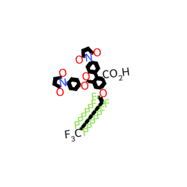 O=C(O)c1cc(OC(F)=C(F)C(F)(F)C(F)(F)C(F)(F)C(F)(F)C(F)(F)C(F)(F)C(F)(F)F)cc(C(=O)Oc2ccc(N3C(=O)C=CC3=O)cc2)c1-c1ccc(N2C(=O)C=CC2=O)cc1